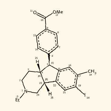 CCN1CC[C@@H]2[C@@H](c3ccc(C(=O)OC)cc3)c3cc(C)c(I)cc3[C@@H]2C1